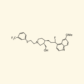 COc1ccc2nccc(C(F)CC[C@@H]3CCN(CCSc4cccc(C(F)(F)F)c4)C[C@@H]3CO)c2c1